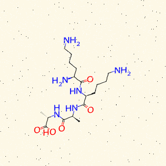 C[C@H](NC(=O)[C@H](C)NC(=O)[C@H](CCCCN)NC(=O)[C@@H](N)CCCCN)C(=O)O